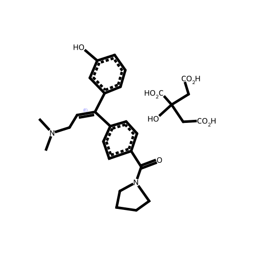 CN(C)C/C=C(\c1ccc(C(=O)N2CCCC2)cc1)c1cccc(O)c1.O=C(O)CC(O)(CC(=O)O)C(=O)O